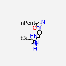 CCCCCC(C)C(=O)N(CCN(C)C)C1C=Cc2cc(-c3n[nH]c(C)c3CCC(C)(C)C)[nH]c2C1